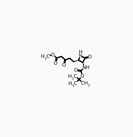 COC(=O)CC(=O)CC[C@H]1NC(=O)[C@H]1NC(=O)OC(C)(C)C